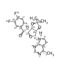 Cc1ncnc2c1ccn2[C@@H]1O[C@H](C(=O)c2ccc(F)c(F)c2)[C@H]2OC(C)(C)O[C@H]21